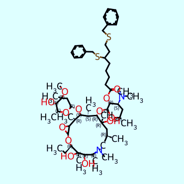 CC[C@H]1OC2OC2[C@H](C)[C@@H](O[C@H]2C[C@@](C)(OC)[C@@H](O)[C@H](C)O2)[C@H](C)[C@@H](O[C@@H]2O[C@H](C)C[C@H](N(C)C)[C@H]2OC(=O)CCCCC(CCSCc2ccccc2)SCc2ccccc2)[C@](C)(O)C[C@@H](C)CN(C)[C@H](C)[C@@H](O)[C@]1(C)O